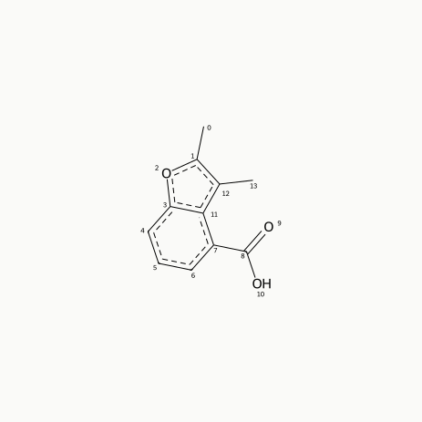 Cc1oc2cccc(C(=O)O)c2c1C